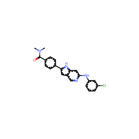 CN(C)C(=O)c1ccc(-c2cc3cnc(Nc4cccc(Cl)c4)cc3[nH]2)cc1